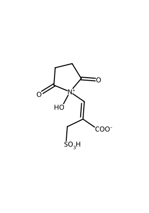 O=C([O-])C(=C[N+]1(O)C(=O)CCC1=O)CS(=O)(=O)O